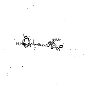 CN[C@@H](C)C(=O)N[C@H](C(=O)N1CCC[C@H]1C1=NC(C(=O)c2ccc(F)cc2)CS1)C1CCN(CCOCCOCCC(=O)NCCn2nc(C#N)c3c2CN(C)C(=O)c2ccc(F)cc2[C@@H](C)Oc2cc-3cnc2N)CC1